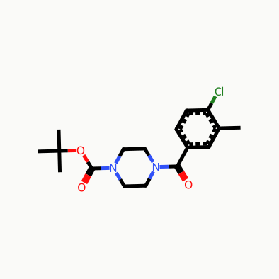 Cc1cc(C(=O)N2CCN(C(=O)OC(C)(C)C)CC2)ccc1Cl